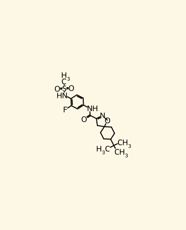 CC(C)(C)C1CCC2(CC1)CC(C(=O)Nc1ccc(NS(C)(=O)=O)c(F)c1)=NO2